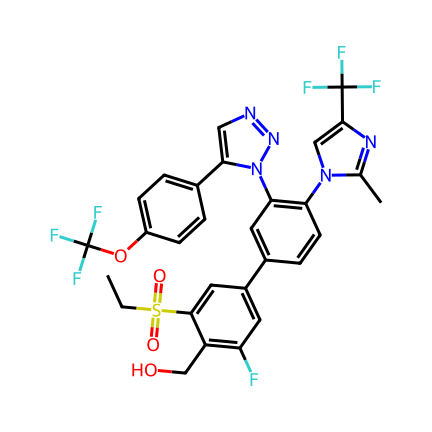 CCS(=O)(=O)c1cc(-c2ccc(-n3cc(C(F)(F)F)nc3C)c(-n3nncc3-c3ccc(OC(F)(F)F)cc3)c2)cc(F)c1CO